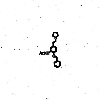 CC(=O)Nc1cc(CCN2CCCC2)ccc1OCc1ccccc1